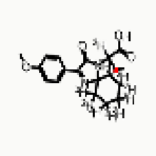 [2H]C(CC)(C(=O)O)N1C(=O)C(c2ccc(OC)cc2)=NC12C([2H])([2H])C([2H])([2H])C([2H])([2H])C([2H])([2H])C2([2H])[2H]